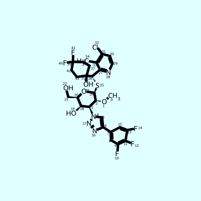 CO[C@@H]1[C@@H](n2cc(-c3cc(F)c(F)c(F)c3)nn2)[C@@H](O)[C@@H](CO)O[C@H]1S[C@@H](c1nccc(Cl)c1C)C1(O)CCC(F)(F)CC1